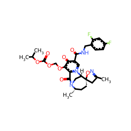 CC1=NO[C@@]2(CC[C@H](C)N3C[C@H]2n2cc(C(=O)NCc4ccc(F)cc4F)c(=O)c(OCOC(=O)OC(C)C)c2C3=O)C1